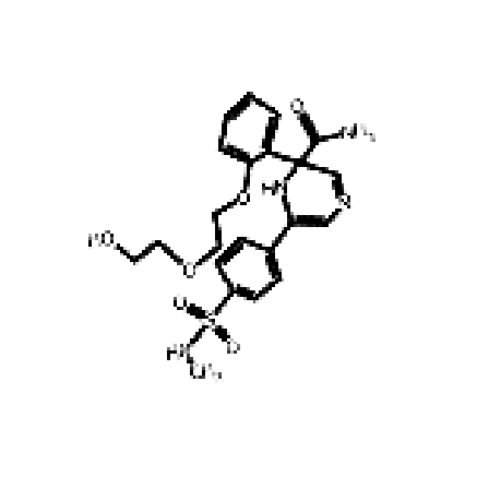 CNS(=O)(=O)c1ccc(C2=CN=CC(C(N)=O)(c3ccccc3OCCOCCO)N2)cc1